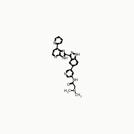 CN(C)CC(=O)Nc1cncc(-c2ccc3[nH]nc(-c4nc5c(-c6ccccn6)ccnc5[nH]4)c3c2)c1